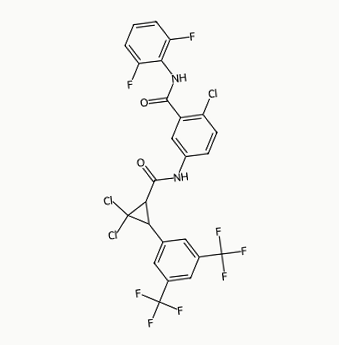 O=C(Nc1c(F)cccc1F)c1cc(NC(=O)C2C(c3cc(C(F)(F)F)cc(C(F)(F)F)c3)C2(Cl)Cl)ccc1Cl